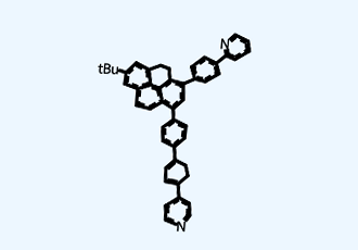 CC(C)(C)c1cc2c3c(ccc4c(-c5ccc(C6=CC=C(c7ccncc7)CC6)cc5)cc(-c5ccc(-c6ccccn6)cc5)c(c43)CC2)c1